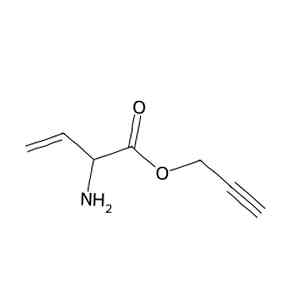 C#CCOC(=O)C(N)C=C